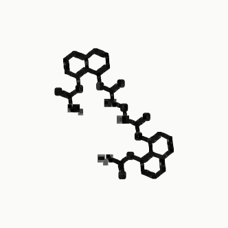 NC(=O)Oc1cccc2cccc(OC(=O)NONC(=O)Oc3cccc4cccc(OC(N)=O)c34)c12